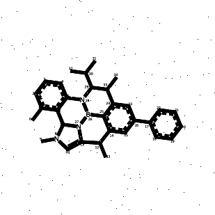 Cc1cccc2c1C1N(C)C=C3C(C)c4cc(-c5ccccc5)cc5c4B(N31)N2C(C(C)C)C5C